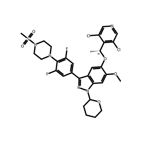 COc1cc2c(cc1O[C@H](C)c1c(Cl)cncc1Cl)c(-c1cc(F)c(N3CCN(S(C)(=O)=O)CC3)c(F)c1)nn2C1CCCCO1